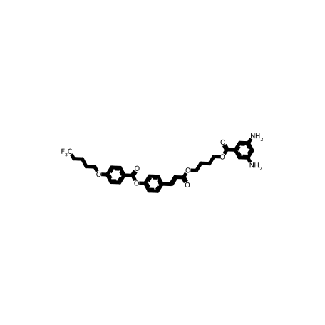 Nc1cc(N)cc(C(=O)OCCCCOC(=O)C=Cc2ccc(OC(=O)c3ccc(OCCCCC(F)(F)F)cc3)cc2)c1